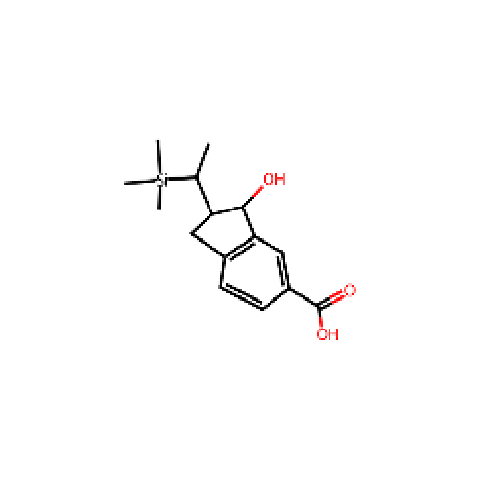 CC(C1Cc2ccc(C(=O)O)cc2C1O)[Si](C)(C)C